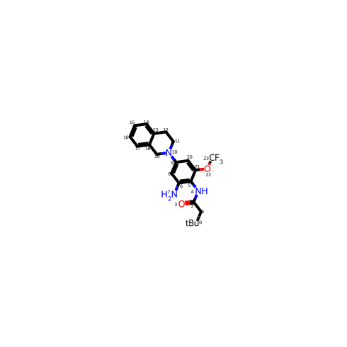 CC(C)(C)CC(=O)Nc1c(N)cc(N2CCc3ccccc3C2)cc1OC(F)(F)F